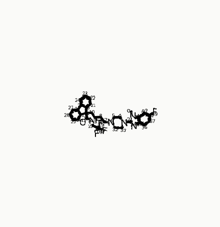 Cn1c(N2CCN(CCCCC3(C(=O)NCC(F)(F)F)c4ccccc4-c4ccccc43)CC2)nc2ccc(F)cc21